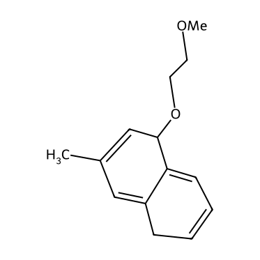 COCCOC1C=C(C)C=C2CC=CC=C21